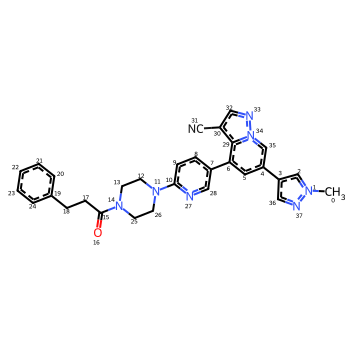 Cn1cc(-c2cc(-c3ccc(N4CCN(C(=O)CCc5ccccc5)CC4)nc3)c3c(C#N)cnn3c2)cn1